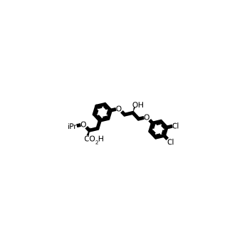 CC(C)O[C@@H](Cc1cccc(OC[C@H](O)COc2ccc(Cl)c(Cl)c2)c1)C(=O)O